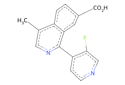 Cc1cnc(-c2ccncc2F)c2cc(C(=O)O)ccc12